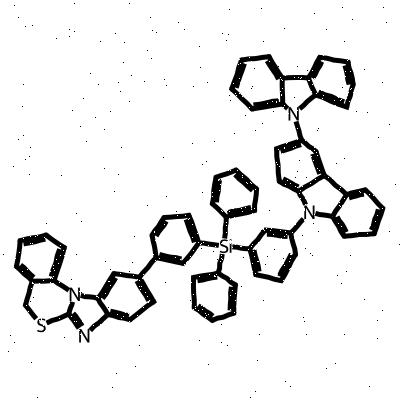 c1ccc([Si](c2ccccc2)(c2cccc(-c3ccc4nc5n(c4c3)-c3ccccc3CS5)c2)c2cccc(-n3c4ccccc4c4cc(-n5c6ccccc6c6ccccc65)ccc43)c2)cc1